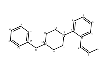 C/C=C\c1ccccc1N1CCN(Cc2ccccc2)CC1